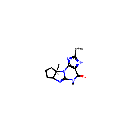 CCCCCCc1nc2c([nH]1)C(=O)N(C)C1=NC3CCC[C@@H]3N12